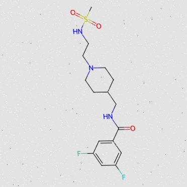 CS(=O)(=O)NCCN1CCC(CNC(=O)c2cc(F)cc(F)c2)CC1